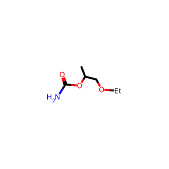 CCOCC(C)OC(N)=O